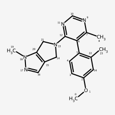 COc1ccc(-c2c(C)ncnc2N2Cc3cnn(C)c3C2)c(C)c1